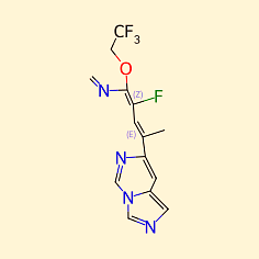 C=N/C(OCC(F)(F)F)=C(F)\C=C(/C)c1cc2cncn2cn1